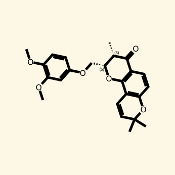 COc1ccc(OC[C@H]2Oc3c(ccc4c3C=CC(C)(C)O4)C(=O)[C@H]2C)cc1OC